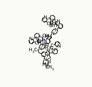 CCOCc1c([C@H]2CCC[C@@H](c3ncccc3C)N2C)nc2cc(CC(C)N3CCN(c4ccc(CCN5CCN(c6cccc7nc([C@H]8CCC[C@@H](c9ncccc9C)N8C)c(Br)n67)CC5)c(=N)n4/C(Br)=C(\C)[C@H]4CCC[C@@H](c5ncccc5C)N4C)CC3)cc(N3CCN(C)CC3)n12